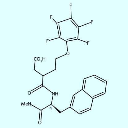 CNC(=O)[C@H](Cc1ccc2ccccc2c1)NC(=O)C(CCOc1c(F)c(F)c(F)c(F)c1F)CC(=O)O